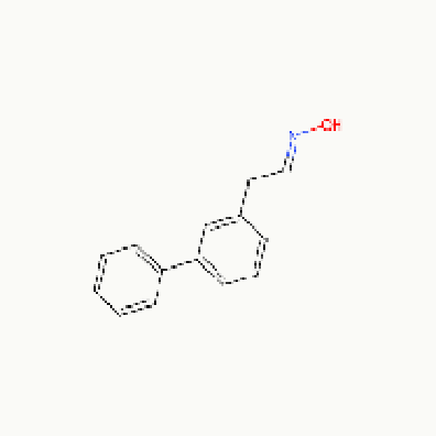 ON=CCc1cccc(-c2ccccc2)c1